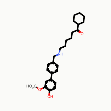 O=C(O)Oc1cc(-c2ccc(CNCCCCCC(=O)C3CCCCC3)cc2)ccc1O